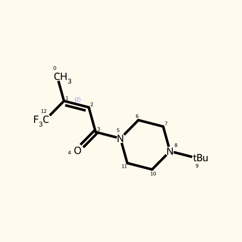 C/C(=C/C(=O)N1CCN(C(C)(C)C)CC1)C(F)(F)F